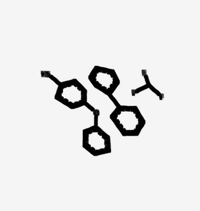 FC(F)F.Sc1ccc(Oc2ccccc2)cc1.c1ccc(-c2ccccc2)cc1